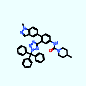 CC1CCN(C(=O)Nc2ccc(-c3ccc4c(cnn4C)c3)c(-c3nnn(C(c4ccccc4)(c4ccccc4)c4ccccc4)n3)c2)CC1